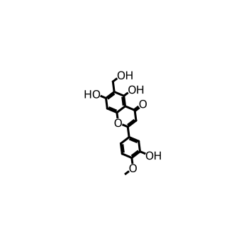 COc1ccc(-c2cc(=O)c3c(O)c(CO)c(O)cc3o2)cc1O